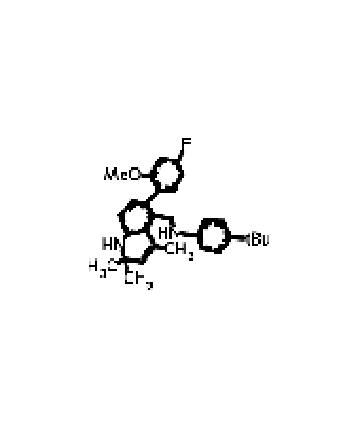 COc1cc(F)ccc1-c1ccc2c(c1CNc1ccc(C(C)(C)C)cc1)C(C)=CC(C)(C)N2